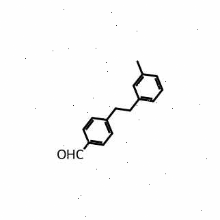 Cc1cccc(CCc2ccc(C=O)cc2)c1